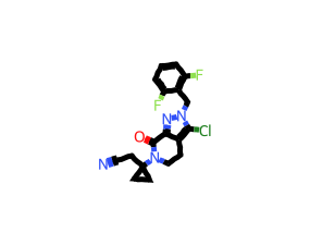 N#CCC1(N2CCc3c(nn(Cc4c(F)cccc4F)c3Cl)C2=O)CC1